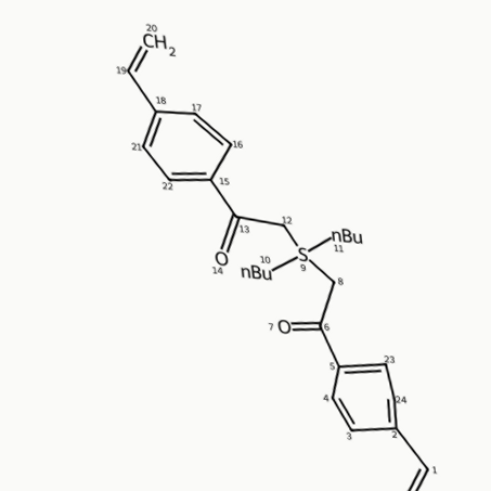 C=Cc1ccc(C(=O)CS(CCCC)(CCCC)CC(=O)c2ccc(C=C)cc2)cc1